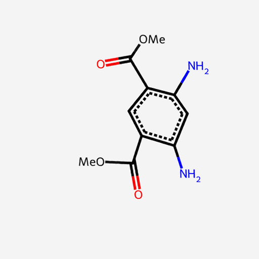 COC(=O)c1cc(C(=O)OC)c(N)cc1N